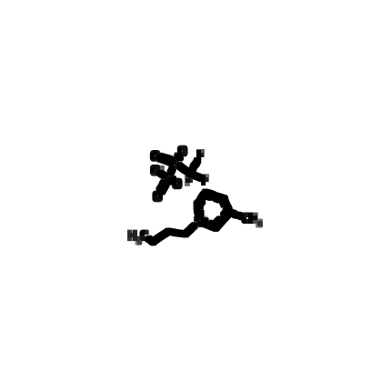 CCCC[n+]1cccc(C)c1.O=S(=O)([O-])S(=O)(=O)C(F)(F)F